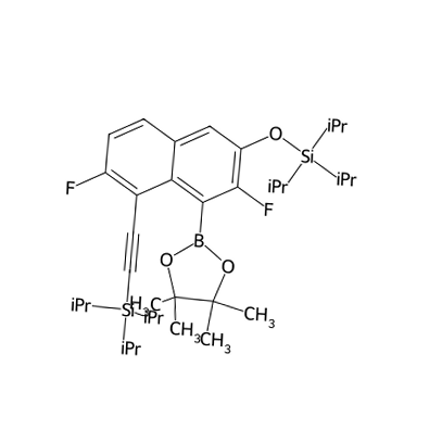 CC(C)[Si](C#Cc1c(F)ccc2cc(O[Si](C(C)C)(C(C)C)C(C)C)c(F)c(B3OC(C)(C)C(C)(C)O3)c12)(C(C)C)C(C)C